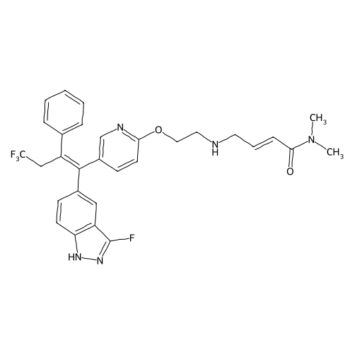 CN(C)C(=O)/C=C/CNCCOc1ccc(/C(=C(/CC(F)(F)F)c2ccccc2)c2ccc3[nH]nc(F)c3c2)cn1